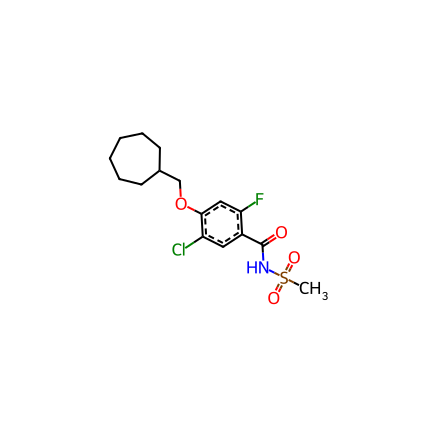 CS(=O)(=O)NC(=O)c1cc(Cl)c(OCC2CCCCCC2)cc1F